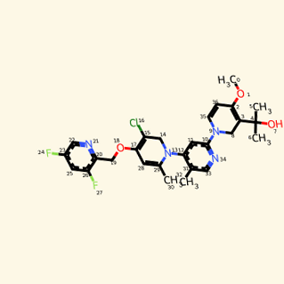 COC1=C(C(C)(C)O)CN(c2cc(N3CC(Cl)=C(OCc4ncc(F)cc4F)C=C3C)c(C)cn2)C=C1